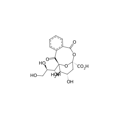 N[C@@H]1[C@@H](O)C[C@]2(C(=O)O)OC(=O)c3ccccc3C(=O)[C@@]1([C@H](O)[C@H](O)CO)O2